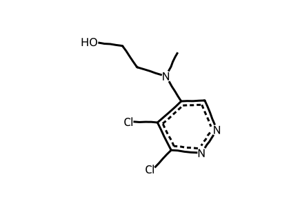 CN(CCO)c1cnnc(Cl)c1Cl